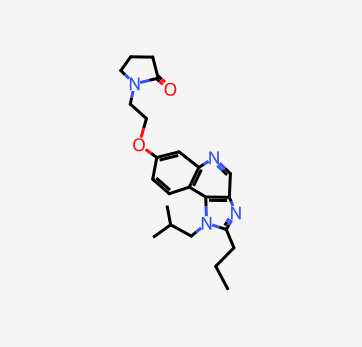 CCCc1nc2cnc3cc(OCCN4CCCC4=O)ccc3c2n1CC(C)C